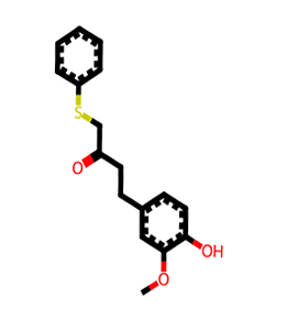 COc1cc(CCC(=O)CSc2ccccc2)ccc1O